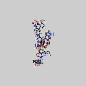 CC(C)c1ccccc1[C@@H]1COCCN1C1CC2(CCN(c3ccc(C(=O)NS(=O)(=O)c4cc5c(c([N+](=O)[O-])c4)N[C@H](CN4C[C@@H]6C[C@H]4CO6)CO5)c(N4c5cc6cc[nH]c6nc5O[C@H]5COCC[C@@H]54)c3)CC2)C1